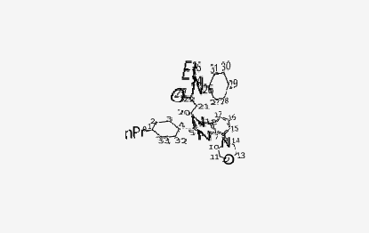 CCC[C@H]1CC[C@H](c2nc3c(N4CCOCC4)cccc3n2CCC(=O)N(CC)C2CCCCC2)CC1